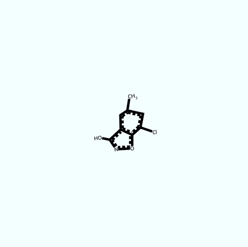 Cc1cc(Cl)c2onc(O)c2c1